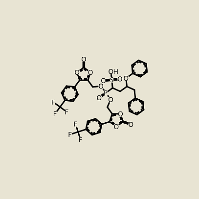 O=c1oc(COP(=O)(OCc2oc(=O)oc2-c2ccc(C(F)(F)F)cc2)C(CC(Cc2ccccc2)Oc2ccccc2)S(=O)(=O)O)c(-c2ccc(C(F)(F)F)cc2)o1